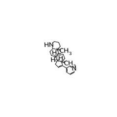 C[C@]12CCCNC1CC[C@@H]1[C@@H]2CC[C@]2(C)C(c3cccnc3)=CC[C@@H]12